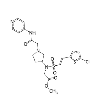 COC(=O)CN(C1CCN(CC(=O)Nc2ccncc2)C1)S(=O)(=O)C=Cc1ccc(Cl)s1